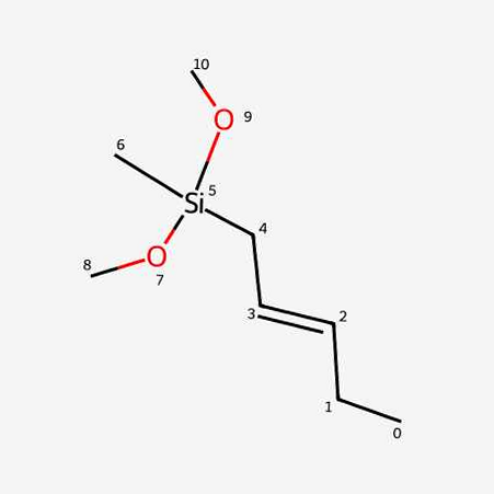 CCC=CC[Si](C)(OC)OC